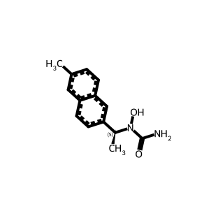 Cc1ccc2cc([C@H](C)N(O)C(N)=O)ccc2c1